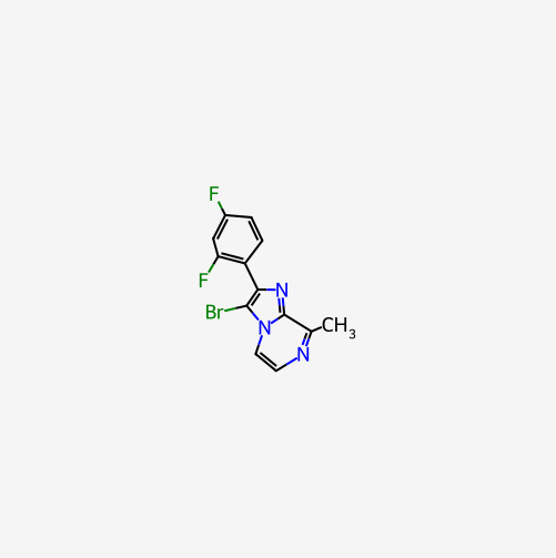 Cc1nccn2c(Br)c(-c3ccc(F)cc3F)nc12